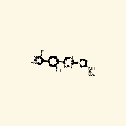 CC(C)(C)N[C@@H]1CCN(c2ncc(-c3ccc(-c4c[nH]nc4F)cc3O)nn2)C1